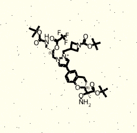 CC(C)(C)OC(=O)NC[C@@H](Cn1cc(-c2ccc3c(c2)CC[C@H]([C@](C)(ON)C(=O)OC(C)(C)C)O3)c[n+]1CC1CN(C(=O)OC(C)(C)C)C1)OC(=O)C(F)(F)F